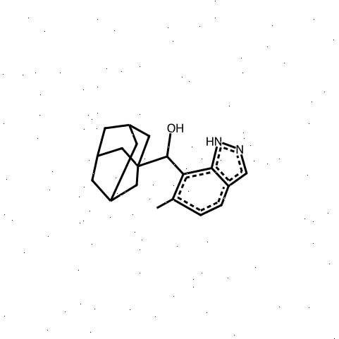 Cc1ccc2cn[nH]c2c1C(O)C12CC3CC(CC(C3)C1)C2